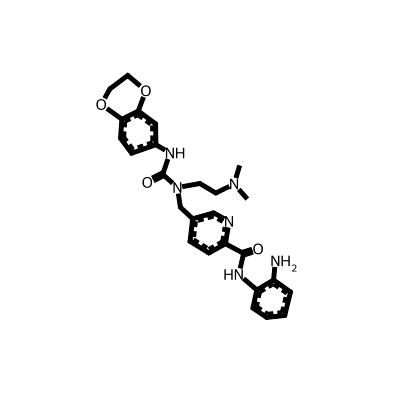 CN(C)CCN(Cc1ccc(C(=O)Nc2ccccc2N)nc1)C(=O)Nc1ccc2c(c1)OCCO2